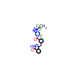 CC(F)(F)c1nnc2n1CCN(C(=O)c1cc(Cc3n[nH]c(=O)c4ccccc34)ccc1F)C2